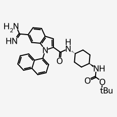 CC(C)(C)OC(=O)N[C@H]1CC[C@H](NC(=O)c2cc3ccc(C(=N)N)cc3n2-c2cccc3ccccc23)CC1